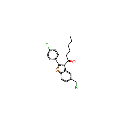 CCCCCC(=O)c1c(-c2ccc(F)cc2)sc2ccc(CBr)cc12